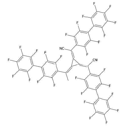 C/C(=C1\C(=C(C#N)c2c(F)c(F)c(-c3c(F)c(F)c(F)c(F)c3F)c(F)c2F)\C1=C(\C#N)c1c(F)c(F)c(-c2c(F)c(F)c(F)c(F)c2F)c(F)c1F)c1c(F)c(F)c(-c2c(F)c(F)c(F)c(F)c2F)c(F)c1F